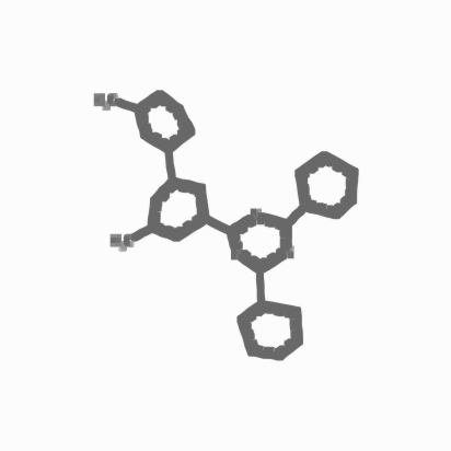 Cc1cccc(-c2cc(C)cc(-c3nc(-c4ccccc4)nc(-c4ccccc4)n3)c2)c1